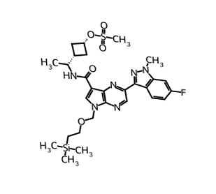 CC(NC(=O)c1cn(COCC[Si](C)(C)C)c2ncc(-c3nn(C)c4cc(F)ccc34)nc12)[C@H]1C[C@@H](OS(C)(=O)=O)C1